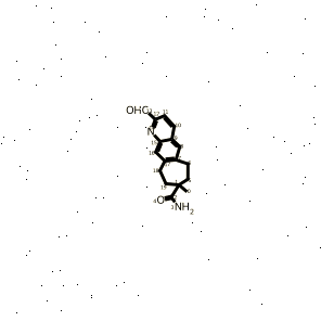 CC1(C(N)=O)CCc2cc3ccc(C=O)nc3cc2CC1